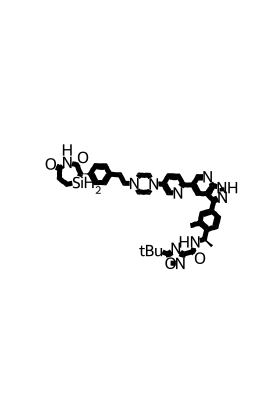 Cc1cc(-c2n[nH]c3ncc(-c4ccc(N5CCN(CCc6ccc([C@@H]7[SiH2]CCC(=O)NC7=O)cc6)CC5)cn4)cc23)ccc1[C@@H](C)NC(=O)c1noc(C(C)(C)C)n1